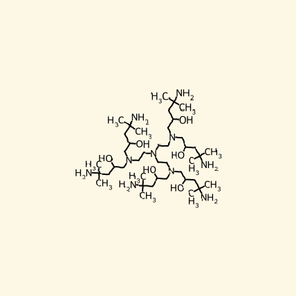 CC(C)(N)CC(O)CN(CCN(CCN(CC(O)CC(C)(C)N)CC(O)CC(C)(C)N)CCN(CC(O)CC(C)(C)N)CC(O)CC(C)(C)N)CC(O)CC(C)(C)N